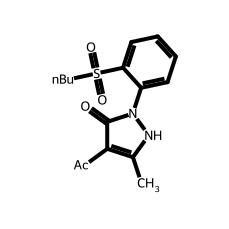 CCCCS(=O)(=O)c1ccccc1-n1[nH]c(C)c(C(C)=O)c1=O